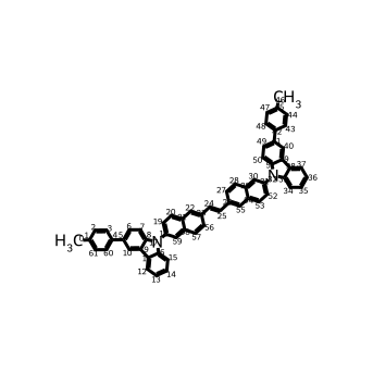 Cc1ccc(-c2ccc3c(c2)c2ccccc2n3-c2ccc3cc(/C=C/c4ccc5cc(-n6c7ccccc7c7cc(-c8ccc(C)cc8)ccc76)ccc5c4)ccc3c2)cc1